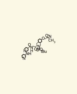 Cc1ncoc1COc1ccc2c(c1)CN(C(=O)OC(C)(C)C)C([C@H](O)CNC(=O)c1ccnc(Nc3cccnc3)c1)C2